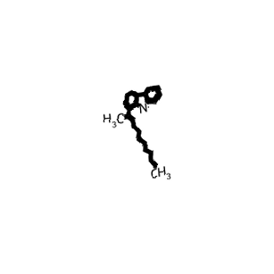 CCCCCCCCCCC(C)c1cccc2c1[N]c1ccccc1-2